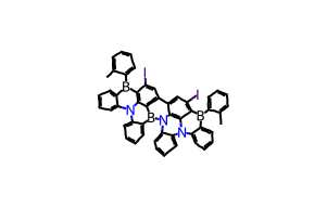 Cc1ccccc1B1c2ccccc2N2c3ccccc3B3c4c(cc(I)c1c42)-c1cc(I)c2c4c1N3c1ccccc1N4c1ccccc1B2c1ccccc1C